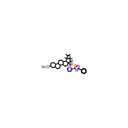 C=C(C)C1(C)C2C3CCC4C5CCC(OC(C)=O)CC5CCC4C3CCC2(C(=O)N2CCC[C@@H]2c2nc(-c3ccccc3)no2)C(C)(C)C1(C)C